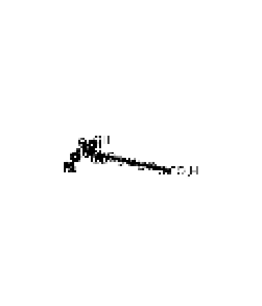 Cc1ncsc1-c1ccc(CNC(=O)[C@@H]2C[C@@H](O)CN2C(=O)[C@@H](NC(=O)CCOCCOCCOCCOCCOCCOCCC(=O)O)C(C)(C)C)cc1